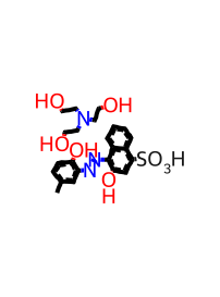 Cc1ccc(O)c(N=Nc2c(O)cc(S(=O)(=O)O)c3ccccc23)c1.OCCN(CCO)CCO